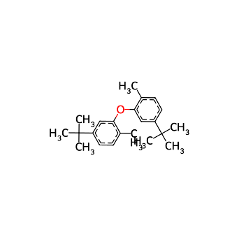 Cc1ccc(C(C)(C)C)cc1Oc1cc(C(C)(C)C)ccc1C